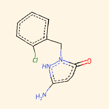 Nc1cc(=O)n(Cc2ccccc2Cl)[nH]1